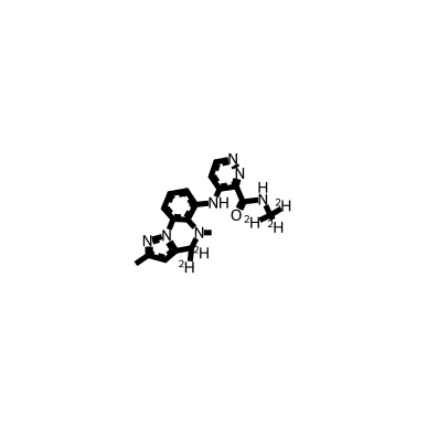 [2H]C([2H])([2H])NC(=O)c1nnccc1Nc1cccc2c1N(C)C([2H])([2H])c1cc(C)nn1-2